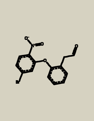 O=CCc1ccccc1Oc1cc(Br)ccc1[N+](=O)[O-]